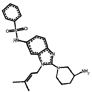 CC(C)=CCn1c(N2CCCC(N)C2)nc2ccc(NS(=O)(=O)c3ccccc3)cc21